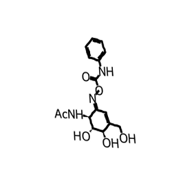 CC(=O)N[C@H]1/C(=N/OC(=O)Nc2ccccc2)C=C(CO)[C@@H](O)[C@@H]1O